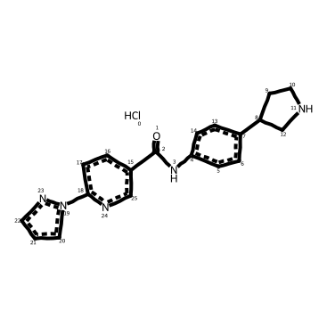 Cl.O=C(Nc1ccc(C2CCNC2)cc1)c1ccc(-n2cccn2)nc1